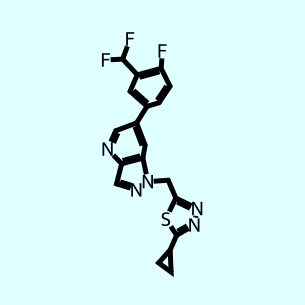 Fc1ccc(-c2cnc3cnn(Cc4nnc(C5CC5)s4)c3c2)cc1C(F)F